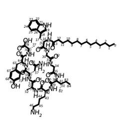 CCCCCCCCCCCCCC(=O)N[C@@H](Cc1c[nH]c2ccccc12)C(=O)NCC(=O)NCC(=O)N[C@H](C(=O)N[C@@H](CCCCN)C(=O)N[C@@H](C)C(=O)N[C@@H](CC(N)=O)C(=O)N[C@@H](Cc1ccc(O)cc1)C(=O)N[C@@H](C)C(=O)O)[C@@H](C)CC